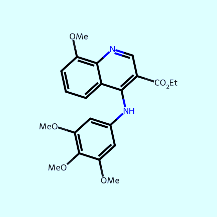 CCOC(=O)c1cnc2c(OC)cccc2c1Nc1cc(OC)c(OC)c(OC)c1